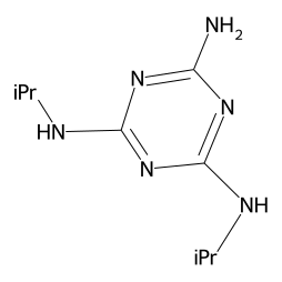 CC(C)Nc1nc(N)nc(NC(C)C)n1